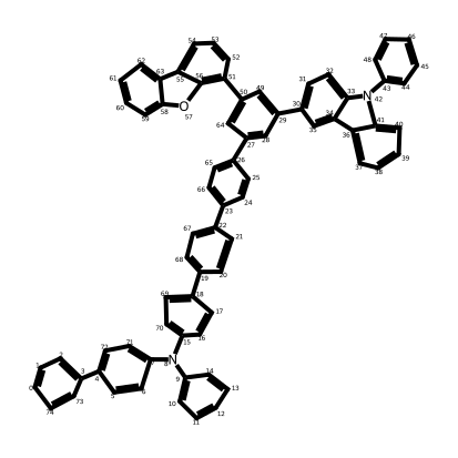 c1ccc(-c2ccc(N(c3ccccc3)c3ccc(-c4ccc(-c5ccc(-c6cc(-c7ccc8c(c7)c7ccccc7n8-c7ccccc7)cc(-c7cccc8c7oc7ccccc78)c6)cc5)cc4)cc3)cc2)cc1